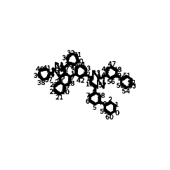 c1ccc(-c2cccc(-c3cc(-c4cccc(-c5cc6ccccc6c6c5c(-c5ccccc5)nn6-c5ccccc5)c4)nc(-c4cccc(-c5ccccc5)c4)n3)c2)cc1